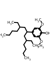 CCCCC(CC)C[C](CC(CC)CCCC)c1cc(OC)c(O)c(OC)c1